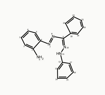 Nc1ccccc1N=NC(=NNc1ccccc1)c1ccccc1